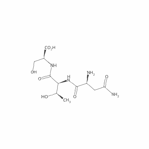 C[C@@H](O)[C@H](NC(=O)[C@@H](N)CC(N)=O)C(=O)N[C@@H](CO)C(=O)O